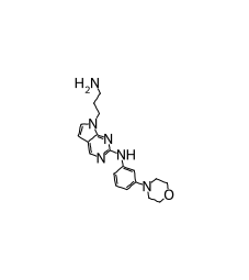 NCCCn1ccc2cnc(Nc3cccc(N4CCOCC4)c3)nc21